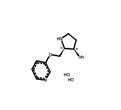 CCC[C@@H]1CCN[C@@H]1COc1cccnc1.Cl.Cl